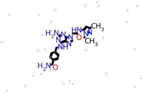 CCn1nc(C)cc1NC(=O)Cn1cnc2c(NCc3ccc(C(N)=O)cc3)nc(N)nc21